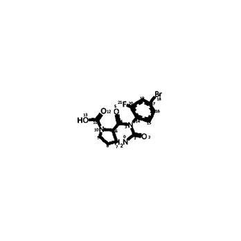 NC(=O)N(C(=O)C1CCCN1C(=O)O)c1ccc(Br)cc1F